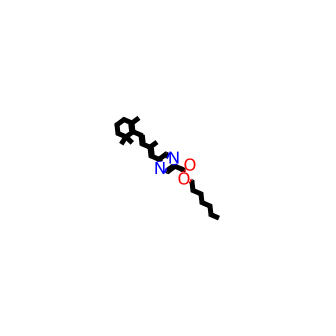 CCCCCCCOC(=O)c1cnc(/C=C(\C)C=CC2=C(C)CCCC2(C)C)cn1